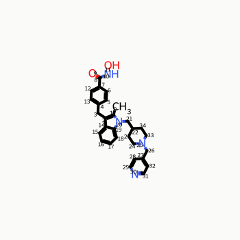 Cc1c(Cc2ccc(C(=O)NO)cc2)c2ccccc2n1CC1CCN(Cc2ccncc2)CC1